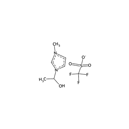 CC(O)[n+]1ccn(C)c1.O=S(=O)([O-])C(F)(F)F